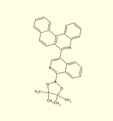 CC1(C)OB(c2ncc(-c3nc4ccccc4c4c3ccc3ccccc34)c3ccccc23)OC1(C)C